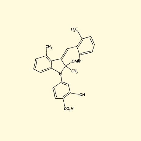 COC1(C)/C(=C\c2c(C)cccc2Br)c2c(C)cccc2N1c1ccc(C(=O)O)c(O)c1